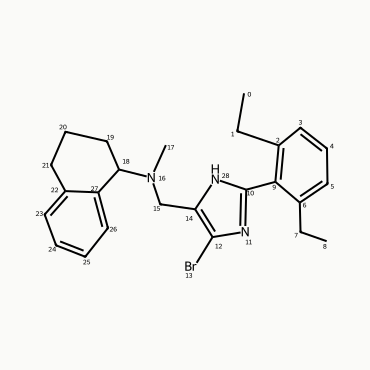 CCc1cccc(CC)c1-c1nc(Br)c(CN(C)C2CCCc3ccccc32)[nH]1